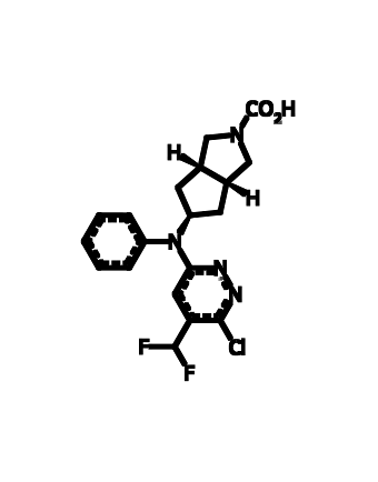 O=C(O)N1C[C@H]2C[C@H](N(c3ccccc3)c3cc(C(F)F)c(Cl)nn3)C[C@H]2C1